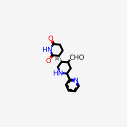 O=CC1CC(c2ccccn2)NCC1[C@H]1CCC(=O)NC1=O